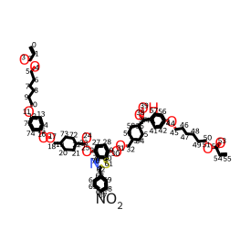 C=CC(=O)OCCCCCCOc1ccc(OOCC2CCC(C(=O)Oc3ccc(OOCC4CCC(C(OO)c5ccc(OCCCCCCOC(=O)C=C)cc5)CC4)c4sc(-c5ccc([N+](=O)[O-])cc5)nc34)CC2)cc1